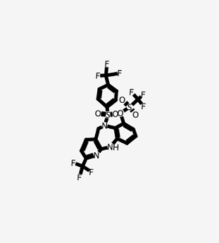 O=S(=O)(c1ccc(C(F)(F)F)cc1)N1Cc2ccc(C(F)(F)F)nc2Nc2cccc(OS(=O)(=O)C(F)(F)F)c21